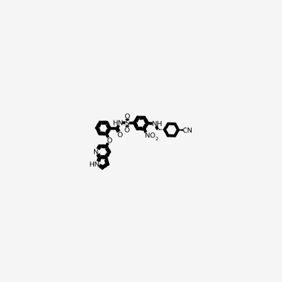 N#C[C@H]1CC[C@H](CNc2ccc(S(=O)(=O)NC(=O)c3ccccc3Oc3cnc4[nH]ccc4c3)cc2[N+](=O)[O-])CC1